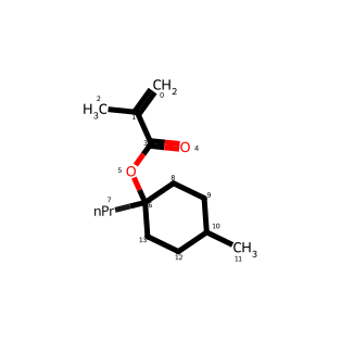 C=C(C)C(=O)OC1(CCC)CCC(C)CC1